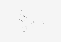 O=C(CCP(=O)(Oc1ccccc1)Oc1ccccc1)OCC1CO1